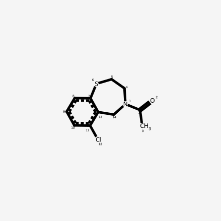 CC(=O)N1CCSc2cccc(Cl)c2C1